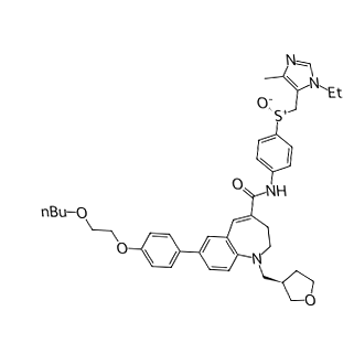 CCCCOCCOc1ccc(-c2ccc3c(c2)C=C(C(=O)Nc2ccc([S@+]([O-])Cc4c(C)ncn4CC)cc2)CCN3C[C@H]2CCOC2)cc1